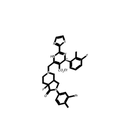 CCOC(=O)C1=C(CN2CCC3(F)C(=O)N(c4ccc(C)c(C(C)C)c4)CC3C2)NC(c2nccs2)=N[C@H]1c1cccc(F)c1C